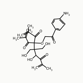 C=C(C)C(=O)C(O)C(CO)(CO)C(OCC(=O)c1ccc(N)cc1)(C(=O)C(=C)C)C(=O)C(=C)C